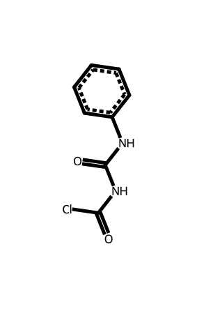 O=C(Cl)NC(=O)Nc1ccccc1